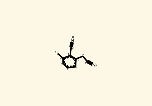 N#CCc1cccc(I)c1C#N